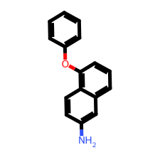 Nc1ccc2c(Oc3ccccc3)cccc2c1